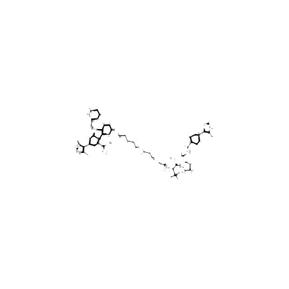 Cc1ncsc1-c1ccc(CNC(=O)[C@@H]2C[C@@H](O)CN2C(=O)[C@@H](NC(=O)COCCCOCCCCCOc2ccc3c(c2)c2c(C(N)=O)cc(-c4c(C)noc4C)cc2n3Cc2ccccn2)C(C)(C)C)cc1